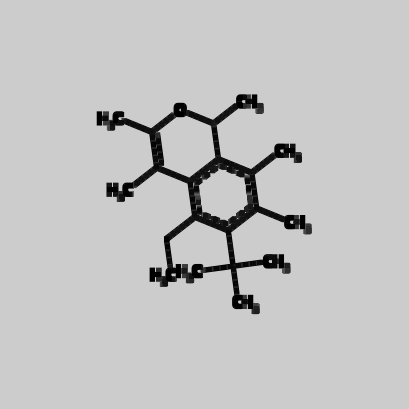 CCc1c2c(c(C)c(C)c1C(C)(C)C)C(C)OC(C)=C2C